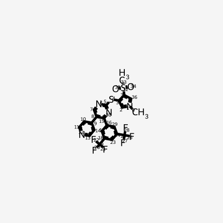 Cn1cc(Sc2ncc(-c3ccncc3)c(-c3cc(C(F)(F)F)cc(C(F)(F)F)c3)n2)c(S(C)(=O)=O)c1